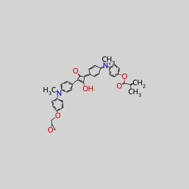 C=C(C)C(=O)Oc1ccc([N+](C)=C2C=CC(=C3C(=O)C(c4ccc(N(C)c5ccc(OCC6CO6)cc5)cc4)=C3O)C=C2)cc1